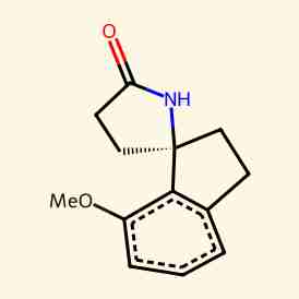 COc1cccc2c1[C@]1(CCC(=O)N1)CC2